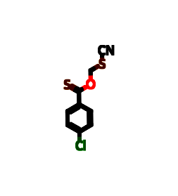 N#CSCOC(=S)c1ccc(Cl)cc1